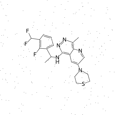 Cc1nnc(NC(C)c2cccc(C(F)F)c2F)c2cc(N3CCSCC3)cnc12